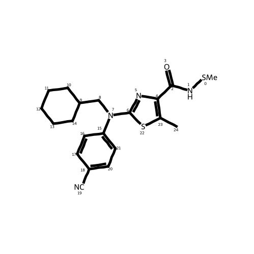 CSNC(=O)c1nc(N(CC2CCCCC2)c2ccc(C#N)cc2)sc1C